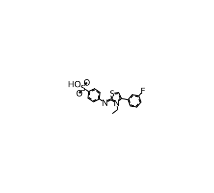 CCn1c(-c2cccc(F)c2)csc1=Nc1ccc(S(=O)(=O)O)cc1